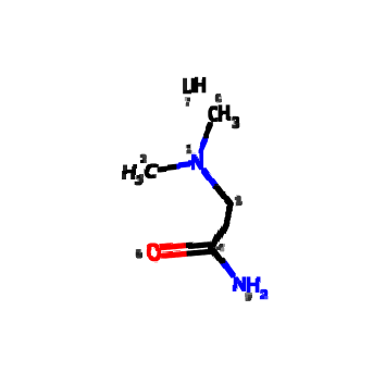 CN(C)CC(N)=O.[LiH]